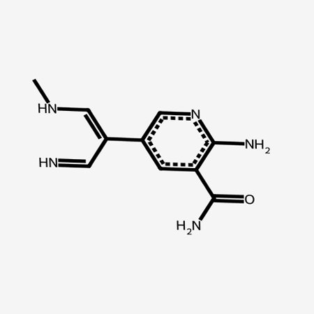 CN/C=C(\C=N)c1cnc(N)c(C(N)=O)c1